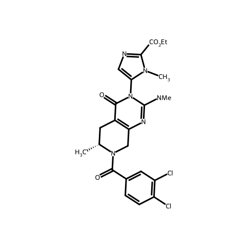 CCOC(=O)c1ncc(-n2c(NC)nc3c(c2=O)C[C@@H](C)N(C(=O)c2ccc(Cl)c(Cl)c2)C3)n1C